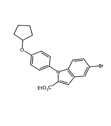 CCOC(=O)c1cc2cc(Br)ccc2n1-c1ccc(OC2CCCC2)cc1